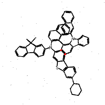 CC1(C)c2ccccc2-c2ccc(N(c3ccc4c(c3)sc3cc(C5CCCCC5)ccc34)c3ccc4ccccc4c3-c3cccc4c5ccccc5n(-c5ccc6ccccc6c5)c34)cc21